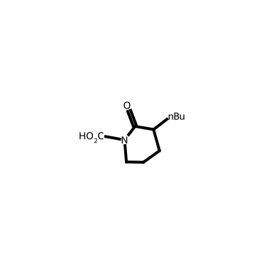 CCCCC1CCCN(C(=O)O)C1=O